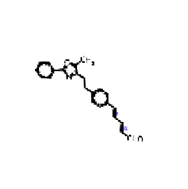 Cc1oc(-c2ccccc2)nc1CCc1ccc(/C=C/C=C/C=O)cc1